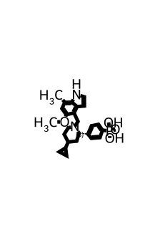 COc1cc(C)c2[nH]ccc2c1CN1CCC(C2CC2)C[C@H]1c1ccc(P(=O)(O)O)cc1